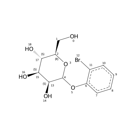 OC[C@H]1OC(Oc2ccccc2Br)[C@@H](O)[C@@H](O)[C@@H]1O